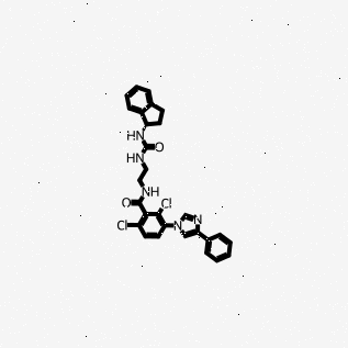 O=C(NCCNC(=O)c1c(Cl)ccc(-n2cnc(-c3ccccc3)c2)c1Cl)N[C@@H]1CCc2ccccc21